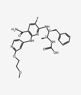 COCCOc1cc(Nc2nc(N[C@@H](Cc3ccccc3)[C@H](C)NC(=O)O)c(F)cc2C(N)=O)ccn1